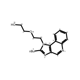 CCCCc1nc2cnc3ccccc3c2n1CCOCCO